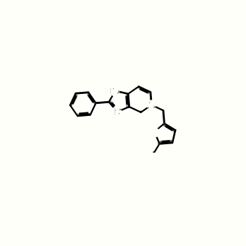 Clc1ccc(CN2C=Cc3[nH]c(-c4ccccc4)nc3C2)s1